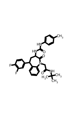 Cc1ccc(NC(=O)NC2CC(c3ccc(F)c(F)c3)c3ccccc3N(CC(=O)NC(C)(C)C)C2=O)cc1